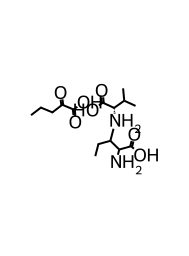 CC(C)[C@H](N)C(=O)O.CCC(C)C(N)C(=O)O.CCCC(=O)C(=O)O